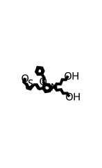 O=Cc1ccc(C=Cc2ccc(N(CCCCO)CCCCO)cc2OCc2ccccc2)s1